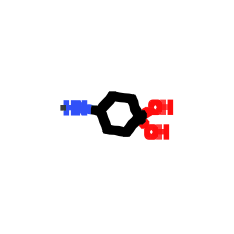 [NH]C1CCC(O)(O)CC1